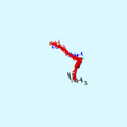 CC(C)(C)OC(=O)CCCCCCCCCCCCCc1cc(Oc2ccc(S(=O)(=O)Nc3ccc(C(=O)NCCOCCOCC(=O)NCCOCCOCC(=O)O)cn3)cc2)ccc1F